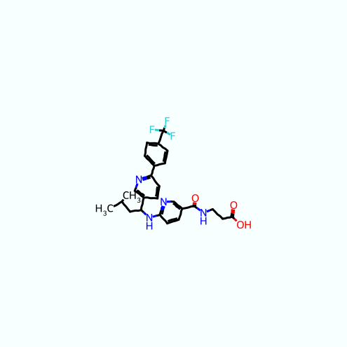 CC(C)CC(Nc1ccc(C(=O)NCCC(=O)O)cn1)c1ccc(-c2ccc(C(F)(F)F)cc2)nc1